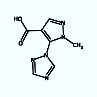 Cn1ncc(C(=O)O)c1-n1cncn1